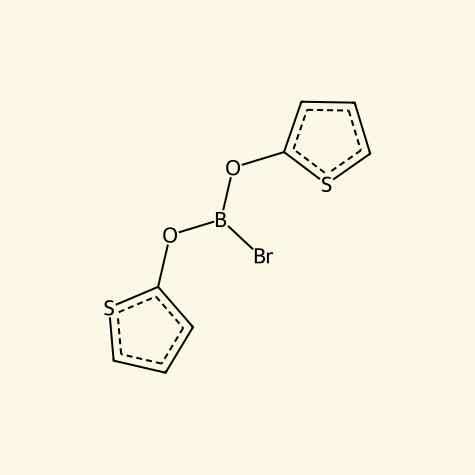 BrB(Oc1cccs1)Oc1cccs1